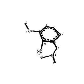 COc1cccc(CN(C)C)c1O